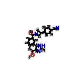 COCc1nc(C)[nH]c1-c1cc(C(=O)N2CC(c3ccc(C#N)cc3)C2)ccc1C